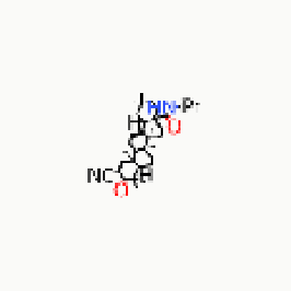 CC(C)NC(=O)C12CCC(C)(C)C[C@H]1C1=CCC3[C@@]4(C)C=C(C#N)C(=O)C(C)(C)[C@@H]4CC[C@@]3(C)[C@]1(C)CC2